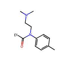 [CH2]CC(=O)N(CCN(C)C)c1ccc(C)cc1